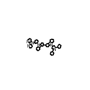 c1ccc(-c2cc(-n3c4ccccc4c4cc(-c5ccc6c(c5)c5ccccc5n6-c5cccc(-n6c7cccnc7c7ncccc76)c5)ccc43)cc(-c3ccccc3)n2)cc1